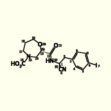 N#C[C@H](Cc1ccc(I)cc1)NC(=O)[C@@H]1CN(C(=O)O)CCCO1